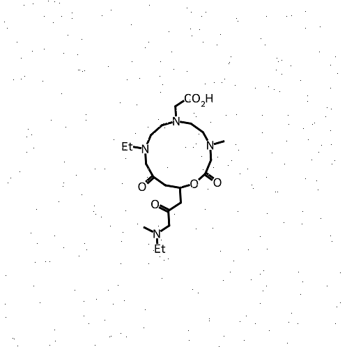 CCN(C)CC(=O)CC1CC(=O)CN(CC)CCN(CC(=O)O)CCN(C)CC(=O)O1